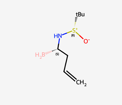 B[C@@H](CC=C)N[S@@+]([O-])C(C)(C)C